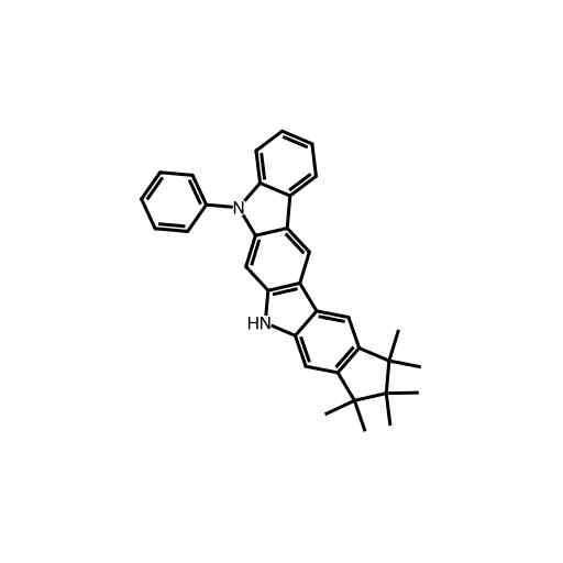 CC1(C)c2cc3[nH]c4cc5c(cc4c3cc2C(C)(C)C1(C)C)c1ccccc1n5-c1ccccc1